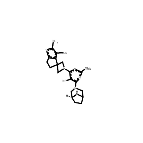 COc1nc(N2CC3CC[C@@H](C2)N3)c(C#N)c(N2CC3(CCc4sc(N)c(C#N)c43)C2)n1